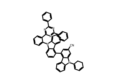 N#Cc1cc(-c2cccc3c2c2ccccc2n3-c2ccccc2-c2nc(-c3ccccc3)nc(-c3ccccc3)n2)c2c3ccccc3n(C3=CC=CCC3)c2c1